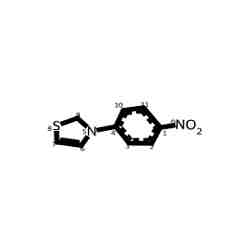 O=[N+]([O-])c1ccc(N2C=CSC2)cc1